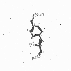 CCCCCCCCCCc1ccc(/C=C(\CC)COC(C)=O)cc1